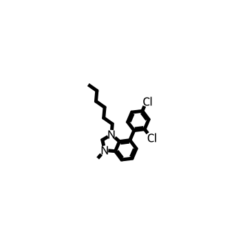 CCCCCCN1CN(C)c2cccc(-c3ccc(Cl)cc3Cl)c21